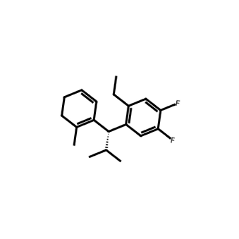 CCc1cc(F)c(F)cc1[C@@H](C1=C(C)CCC=C1)C(C)C